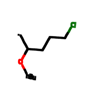 [CH2]C(CCCCl)OCCCC